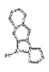 CC(C)n1c2ccccc2c2cc3ccccc3cc21